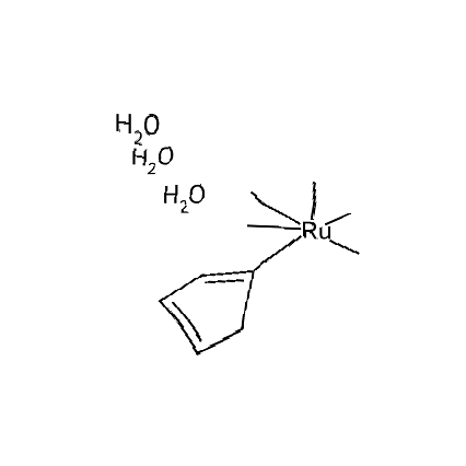 O.O.O.[CH3][Ru]([CH3])([CH3])([CH3])([CH3])[C]1=CC=CC1